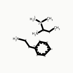 CCC(N)N(C)C.NCCc1ccccc1